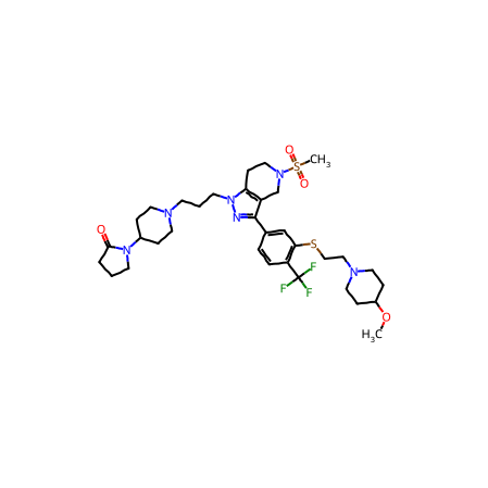 COC1CCN(CCSc2cc(-c3nn(CCCN4CCC(N5CCCC5=O)CC4)c4c3CN(S(C)(=O)=O)CC4)ccc2C(F)(F)F)CC1